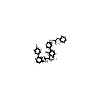 OC(Cc1ccccc1)Nc1cncc(-c2ccc3[nH]nc(-c4nc5c(-c6ccc(F)cc6)nccc5[nH]4)c3c2F)c1